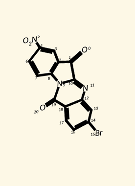 O=C1c2cc([N+](=O)[O-])ccc2-n2c1nc1cc(Br)ccc1c2=O